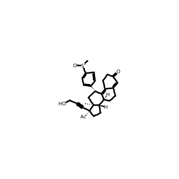 CC(=O)[C@@]1(C#CCO)CC[C@H]2[C@@H]3CCC4=CC(=O)CCC4=C3[C@@H](c3ccc([S+](C)[O-])cc3)C[C@@]21C